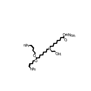 CCC/C=C\CCOC(CCCCCCN(CCO)CCCCCCCC(=O)OCCCCCCCCC)OCC/C=C\CCC